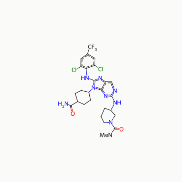 CNC(=O)N1CCCC(Nc2ncc3nc(Nc4c(Cl)cc(C(F)(F)F)cc4Cl)n(C4CCC(C(N)=O)CC4)c3n2)C1